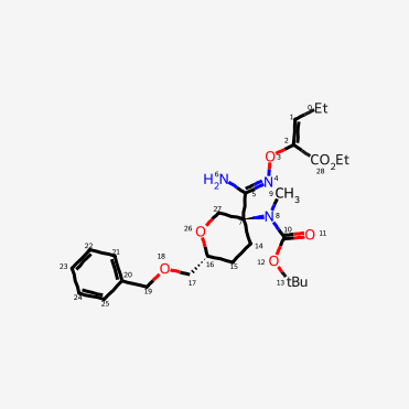 CC/C=C(/O/N=C(\N)[C@]1(N(C)C(=O)OC(C)(C)C)CC[C@H](COCc2ccccc2)OC1)C(=O)OCC